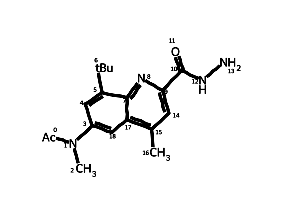 CC(=O)N(C)c1cc(C(C)(C)C)c2nc(C(=O)NN)cc(C)c2c1